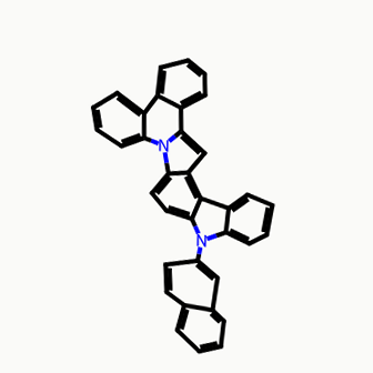 c1ccc2cc(-n3c4ccccc4c4c5cc6c7ccccc7c7ccccc7n6c5ccc43)ccc2c1